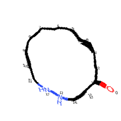 O=C1CC=CCCCCCCCNNCC1